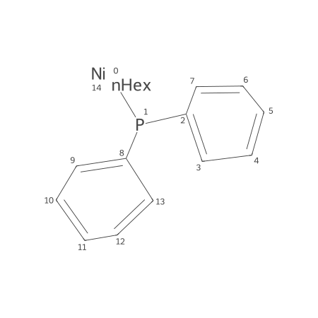 CCCCCCP(c1ccccc1)c1ccccc1.[Ni]